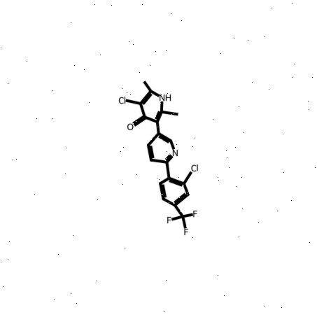 Cc1[nH]c(C)c(-c2ccc(-c3ccc(C(F)(F)F)cc3Cl)nc2)c(=O)c1Cl